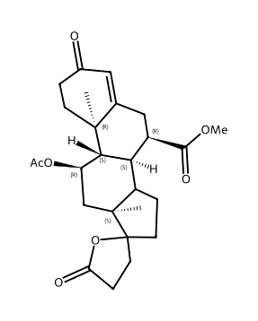 COC(=O)[C@@H]1CC2=CC(=O)CC[C@]2(C)[C@@H]2[C@@H]1C1CCC3(CCC(=O)O3)[C@@]1(C)C[C@H]2OC(C)=O